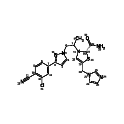 CC(Cn1ccc(-c2ccc(C#N)c(Cl)c2)n1)N1C=C(Cn2ccnc2)S[C@H]1C(N)=O